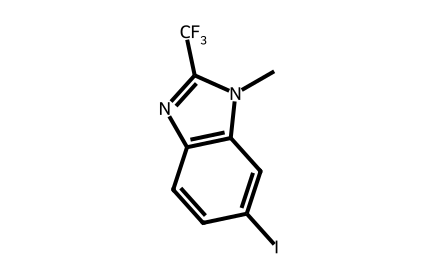 Cn1c(C(F)(F)F)nc2ccc(I)cc21